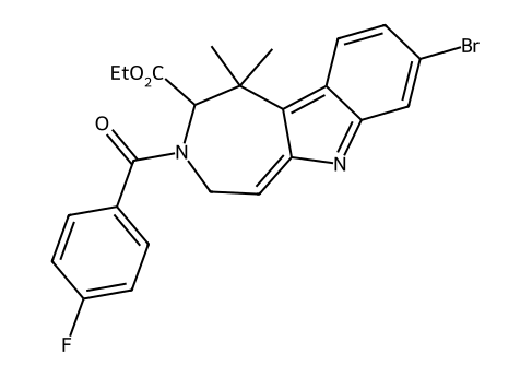 CCOC(=O)C1N(C(=O)c2ccc(F)cc2)CC=C2N=c3cc(Br)ccc3=C2C1(C)C